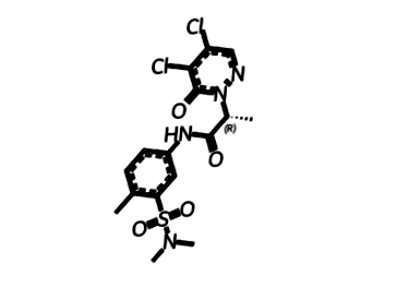 Cc1ccc(NC(=O)[C@@H](C)n2ncc(Cl)c(Cl)c2=O)cc1S(=O)(=O)N(C)C